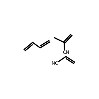 C=C(C)C#N.C=CC#N.C=CC=C